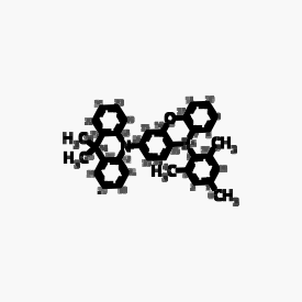 Cc1cc(C)c(B2c3ccccc3Oc3cc(N4c5ccccc5C(C)(C)c5ccccc54)ccc32)c(C)c1